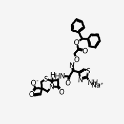 C=CC1(C(=O)[O-])CS[C@@H]2C(NC(=O)C(=NOCC(=O)OC(c3ccccc3)c3ccccc3)c3csc(N)n3)C(=O)N2C1.[Na+]